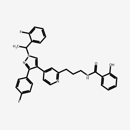 CC(c1ccccc1F)n1cc(-c2ccnc(CCCNC(=O)c3ccccc3O)c2)c(-c2ccc(F)cc2)n1